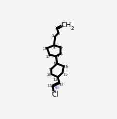 C=CCCC1CCC(C2CCC(/C=C/Cl)CC2)CC1